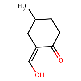 CC1CCC(=O)/C(=C\O)C1